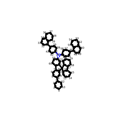 c1ccc(-c2ccc3c(c2)C2(c4ccccc4-c4ccccc42)c2cc(N(c4ccc(-c5cccc6ccccc56)cc4)c4ccc(-c5cccc6ccccc56)cc4)ccc2-3)cc1